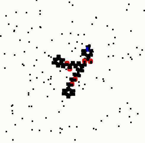 CN1CCC(C(=O)OCC(CCCCOCOCc2ccccc2)CCCC(=O)OCc2ccccc2)CC1